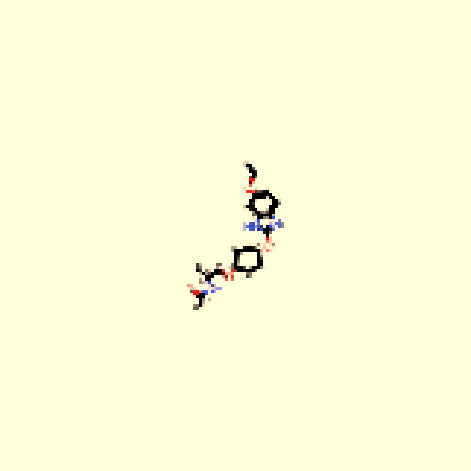 CCOC1=CC=C2N=C(O[C@H]3CC[C@H](OC[C@H](C)NC(C)=O)CC3)NC2C1